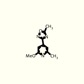 COc1cc(-c2noc(C)n2)cc(C)n1